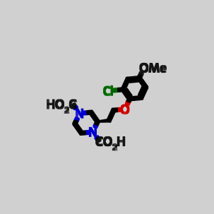 COc1ccc(OCC[C@@H]2CN(C(=O)O)CCN2C(=O)O)c(Cl)c1